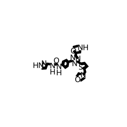 O=C(NCc1cc[nH]n1)Nc1ccc(-c2nc(-c3ccc(CN4CCOCC4)s3)nc(C3CNCCO3)n2)cc1